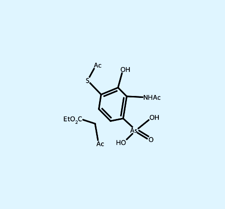 CC(=O)Nc1c([As](=O)(O)O)ccc(SC(C)=O)c1O.CCOC(=O)CC(C)=O